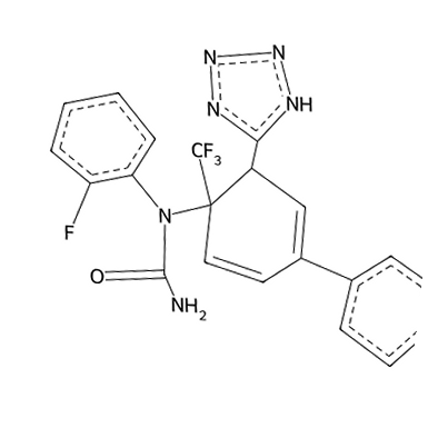 NC(=O)N(c1ccccc1F)C1(C(F)(F)F)C=CC(c2ccccc2)=CC1c1nnn[nH]1